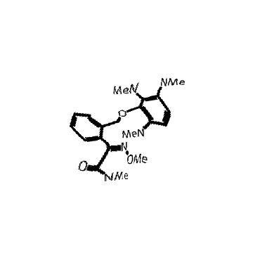 CNC(=O)C(=NOC)c1ccccc1COc1c(NC)ccc(NC)c1NC